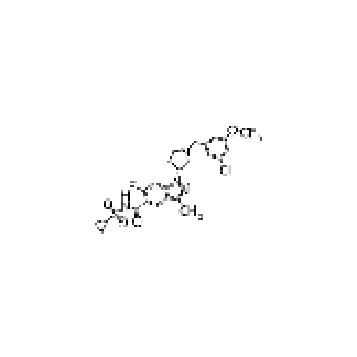 Cc1nn([C@@H]2CCN(Cc3cc(Cl)cc(OC(F)(F)F)c3)C2)c2cc(F)c(C(=O)NS(=O)(=O)C3CC3)cc12